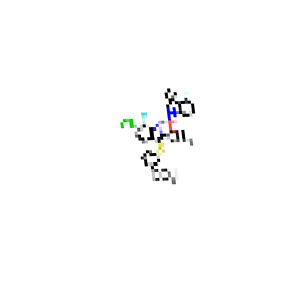 Cc1c(Sc2cccc(C(=O)O)c2)c2ccc(Cl)c(F)c2n1CC(=O)N1CC2(CCC2)c2c(F)cccc21